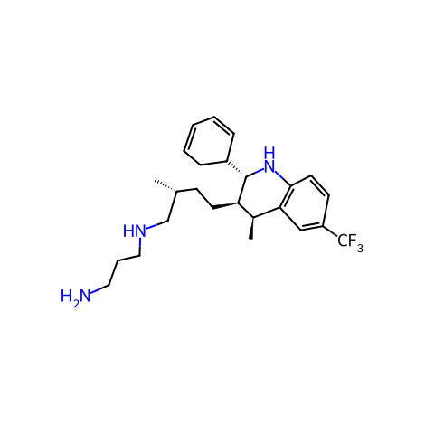 C[C@H](CC[C@@H]1[C@H](C)c2cc(C(F)(F)F)ccc2N[C@H]1C1C=CC=CC1)CNCCCN